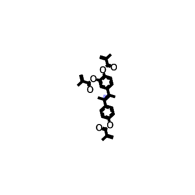 C=C(C)C(=O)Oc1ccc(/C(C)=C(\C)c2ccc(OC(=O)C(=C)C)c(OC(=O)C(=C)C)c2)cc1